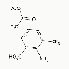 CC(=O)OC(=O)C(F)(F)F.Nc1c(C(=O)O)cccc1C(F)(F)F